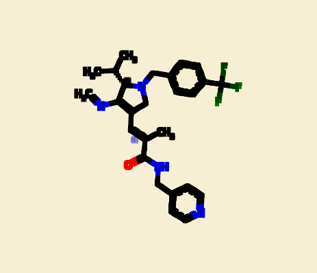 C=NC1=C(/C=C(\C)C(=O)NCc2ccncc2)CN(Cc2ccc(C(F)(F)F)cc2)[C@H]1C(C)C